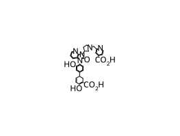 O=C(O)C1=C(O)C=CC(c2ccc(-n3c(=O)n([C@H]4CCN(Cc5cc(C(=O)O)ccn5)C4)c4ncccc43)c(O)c2)C1